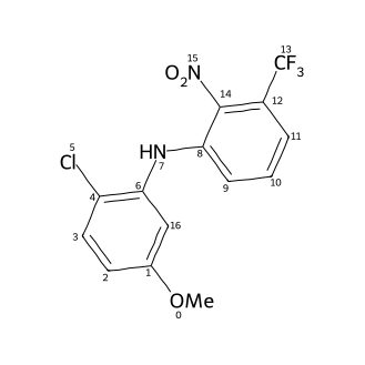 COc1ccc(Cl)c(Nc2cccc(C(F)(F)F)c2[N+](=O)[O-])c1